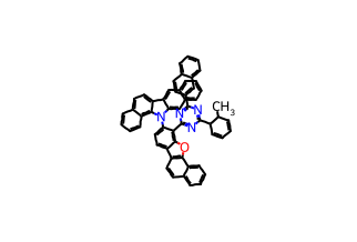 CC1C=CC=CC1c1nc(-c2ccc3ccccc3c2)nc(-c2c(-n3c4cc5ccccc5cc4c4ccc5ccccc5c43)ccc3c2oc2c4ccccc4ccc32)n1